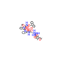 Cc1c(C)c(S(=O)(=O)NC(=N)NCCC[C@H](NC(=O)[C@@H]2CC3CCCCC3N2C(=O)[C@H]2Cc3ccccc3CN2C(=O)[C@H](COC(C)(C)C)NC(=O)OCC2c3ccccc3-c3ccccc32)C(=O)O)c(C)c2c1OC(C)(C)C2